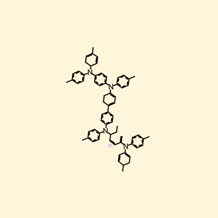 C=C(/C=C\C(CC)N(c1ccc(C)cc1)c1ccc(C2=CC=C(N(c3ccc(C)cc3)c3ccc(N(c4ccc(C)cc4)C4C=CC(C)=CC4)cc3)CC2)cc1)N(C1=CCC(C)C=C1)c1ccc(C)cc1